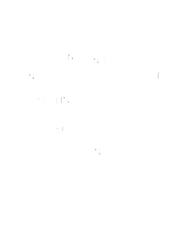 CCc1c(CN2CCC(O)C2)cccc1Nc1c(C(N)=O)cnc2[nH]c(-c3ccc(F)cc3)cc12